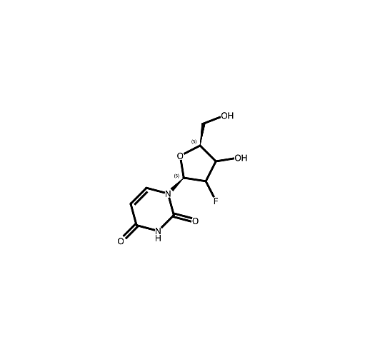 O=c1ccn([C@H]2O[C@@H](CO)C(O)C2F)c(=O)[nH]1